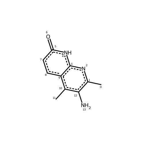 Cc1nc2[nH]c(=O)ccc2c(C)c1N